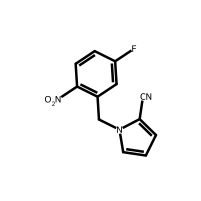 N#Cc1cccn1Cc1cc(F)ccc1[N+](=O)[O-]